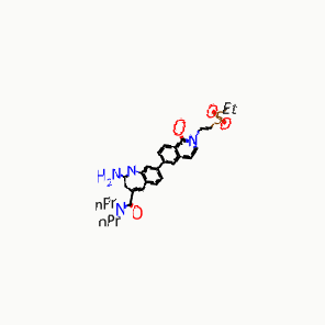 CCCN(CCC)C(=O)C1=Cc2ccc(-c3ccc4c(=O)n(CCS(=O)(=O)CC)ccc4c3)cc2N=C(N)C1